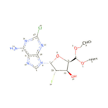 CCCCCCOC(OC=O)[C@@H]1O[C@@H](n2cnc3c(N)nc(Cl)nc32)[C@@H](F)[C@@H]1O